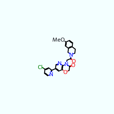 COc1ccc2c(c1)CN(C(=O)CN1C(=O)COc3cc(-c4cc(Cl)ccn4)cnc31)CC2